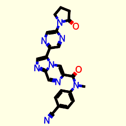 CN(C(=O)c1cn2c(-c3cnc(N4CCCC4=O)cn3)cnc2cn1)c1ccc(C#N)cc1